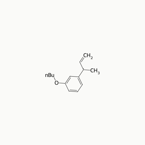 C=C[C](C)c1cccc(OCCCC)c1